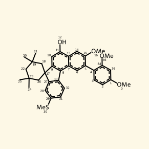 COc1ccc(-c2cc3c4c(cc(O)c3cc2OC)C2(CC(C)(C)CC(C)(C)C2)c2cc(SC)ccc2-4)c(OC)c1